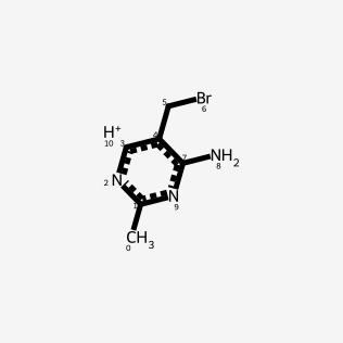 Cc1ncc(CBr)c(N)n1.[H+]